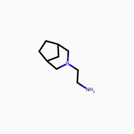 NCCN1CC2CCC(C2)C1